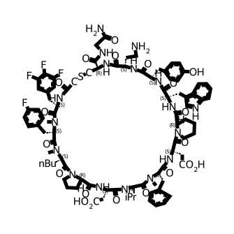 CCCC[C@H]1C(=O)N2CCC[C@@H]2C(=O)N[C@@H](CC(=O)O)C(=O)N[C@@H](C(C)C)C(=O)N(C)[C@@H](Cc2ccccc2)C(=O)N[C@@H](CC(=O)O)C(=O)N2CCCC[C@@H]2C(=O)N[C@@H](Cc2c[nH]c3ccccc23)C(=O)N[C@@H](Cc2ccc(O)cc2)C(=O)N[C@@H](CCN)C(=O)N[C@H](C(=O)NCC(N)=O)CSCC(=O)N[C@@H](Cc2cc(F)c(F)c(F)c2)C(=O)N(C)[C@@H](Cc2ccc(F)cc2)C(=O)N1C